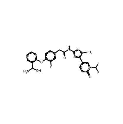 Cc1sc(NC(=O)Cc2ccc(Oc3ncccc3C(N)O)c(F)c2)nc1-c1ccc(=O)n(C(F)F)c1